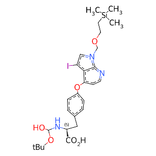 CC(C)(C)OC(O)N[C@@H](Cc1ccc(Oc2ccnc3c2c(I)cn3COCC[Si](C)(C)C)cc1)C(=O)O